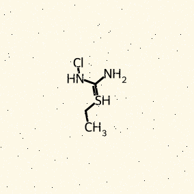 CC[SH]=C(N)NCl